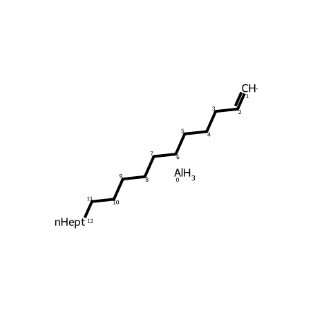 [AlH3].[CH]=CCCCCCCCCCCCCCCCC